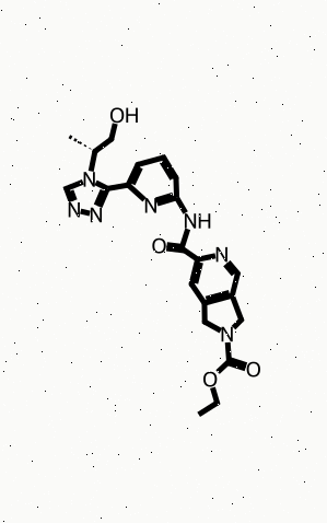 CCOC(=O)N1Cc2cnc(C(=O)Nc3cccc(-c4nncn4[C@H](C)CO)n3)cc2C1